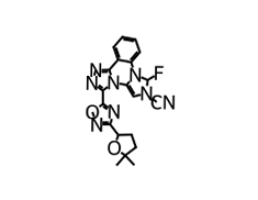 CC1(C)CCC(c2noc(-c3nnc4n3C3=CN(C#N)C(F)N3c3ccccc3-4)n2)O1